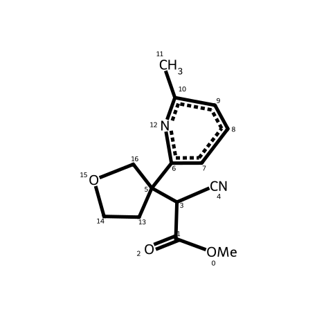 COC(=O)C(C#N)C1(c2cccc(C)n2)CCOC1